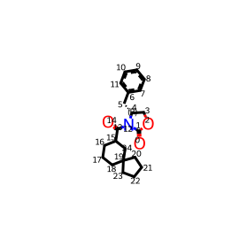 O=C1OC[C@@H](Cc2ccccc2)N1C(=O)C1CCCC2(CCCC2)C1